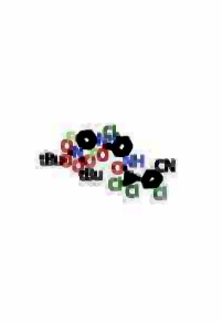 CC(C)(C)OC(=O)N(C(=O)OC(C)(C)C)c1c(F)ccc(NC(=O)c2cc(NC(=O)[C@@H]3[C@@H](c4cc(Cl)cc(C#N)c4)C3(Cl)Cl)ccc2Cl)c1F